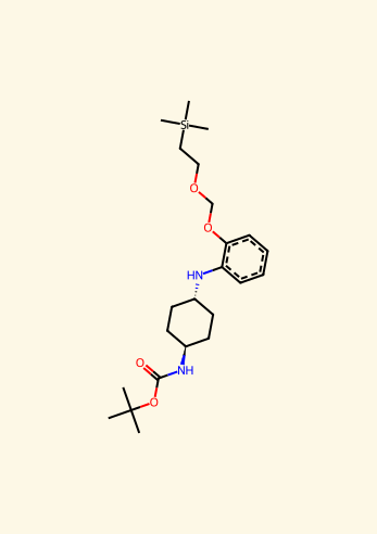 CC(C)(C)OC(=O)N[C@H]1CC[C@H](Nc2ccccc2OCOCC[Si](C)(C)C)CC1